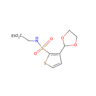 CCOC(=O)CNS(=O)(=O)c1sccc1C1OCCO1